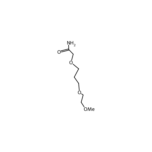 COCCOCCCOCC(N)=O